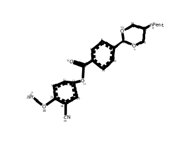 CCCCCC1COC(c2ccc(C(=O)Oc3ccc(OCCC)c(C#N)c3)cc2)OC1